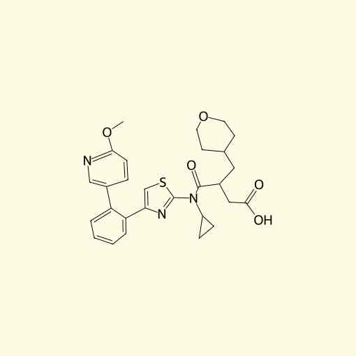 COc1ccc(-c2ccccc2-c2csc(N(C(=O)C(CC(=O)O)CC3CCOCC3)C3CC3)n2)cn1